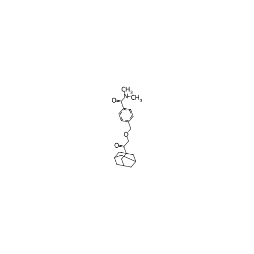 CN(C)C(=O)c1ccc(COCC(=O)C23CC4CC(CC(C4)C2)C3)cc1